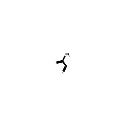 NC(=S)C=S